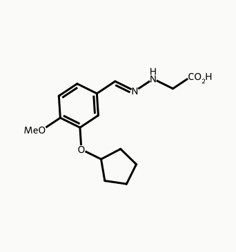 COc1ccc(C=NNCC(=O)O)cc1OC1CCCC1